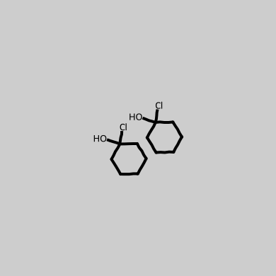 OC1(Cl)CCCCC1.OC1(Cl)CCCCC1